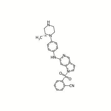 C[C@@H]1CNCCN1c1ccc(Nc2cc3c(ccn3S(=O)(=O)c3ccccc3C#N)cn2)cc1